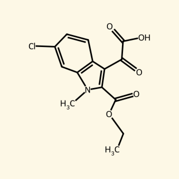 CCOC(=O)c1c(C(=O)C(=O)O)c2ccc(Cl)cc2n1C